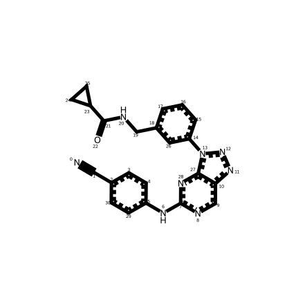 N#Cc1ccc(Nc2ncc3nnn(-c4cccc(CNC(=O)C5CC5)c4)c3n2)cc1